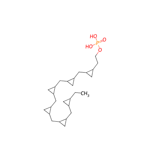 CCC1CC1CC1CC1CC1CC1CC1CC1CC1CC1CC1CC1CCOP(=O)(O)O